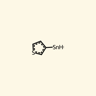 [SnH][c]1ccsc1